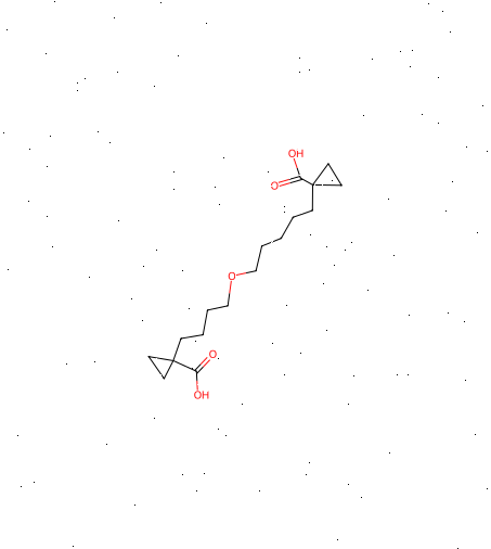 O=C(O)C1(CCCCCOCCCCC2(C(=O)O)CC2)CC1